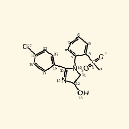 CS(=O)(=O)c1ccccc1N1CC(O)N=C1c1ccc(Cl)cc1